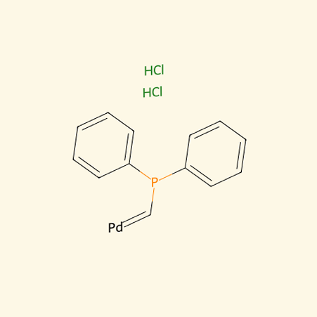 Cl.Cl.[Pd]=[CH]P(c1ccccc1)c1ccccc1